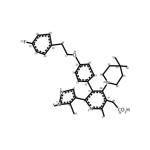 Cc1nc(-c2cnn(C)c2C)c(-c2ccc(OCCc3ccc(F)cc3)cc2)c(N2CCC(C)(C)CC2)c1CC(=O)O